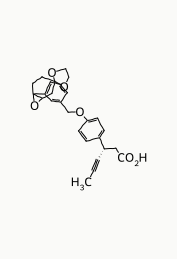 CC#C[C@@H](CC(=O)O)c1ccc(OCc2cccc(C34CCC5(CC3O4)OCCO5)c2)cc1